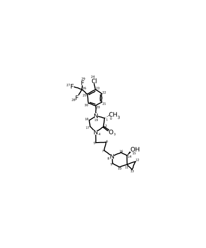 C[C@@H]1C(=O)N(CCCN2CCC3(CC3)[C@H](O)C2)CCN1c1ccc(Cl)c(C(F)(F)F)c1